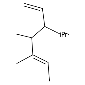 C=CC([C](C)C)C(C)C(C)=CC